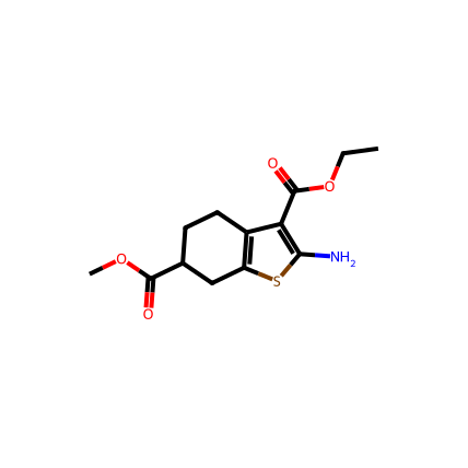 CCOC(=O)c1c(N)sc2c1CCC(C(=O)OC)C2